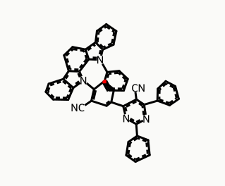 N#CC1=C(n2c3ccccc3c3ccc4c5ccccc5n(-c5c#cccc5)c4c32)CCC(c2nc(-c3ccccc3)nc(-c3ccccc3)c2C#N)=C1